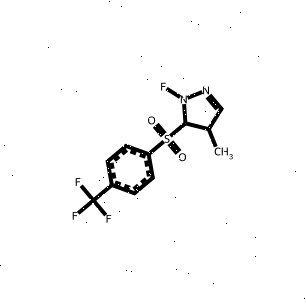 CC1C=NN(F)C1S(=O)(=O)c1ccc(C(F)(F)F)cc1